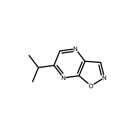 CC(C)c1cnc2cnoc2n1